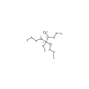 CCCO[Si](CC)(OCCC)C(Cl)CCC